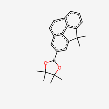 CC1(C)c2cccc3ccc4cc(B5OC(C)(C)C(C)(C)O5)cc1c4c23